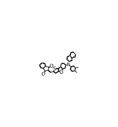 Cc1ccc(N(c2ccc3ccccc3c2)c2ccc3c(c2)oc2cc(C=C4C(=O)c5ccccc5C4=O)sc23)cc1C